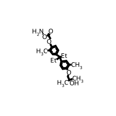 CCC(CC)(c1ccc(OCC(=O)ON)c(C)c1)c1ccc(OCC(C)(C)O)c(C)c1